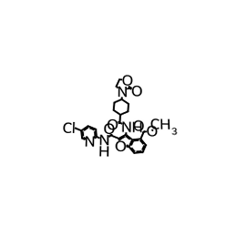 COC(=O)c1cccc2oc(C(=O)Nc3ccc(Cl)cn3)c(NC(=O)C3CCC(N4CCOC4=O)CC3)c12